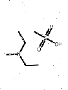 CCN(C)CC.CS(=O)(=O)O